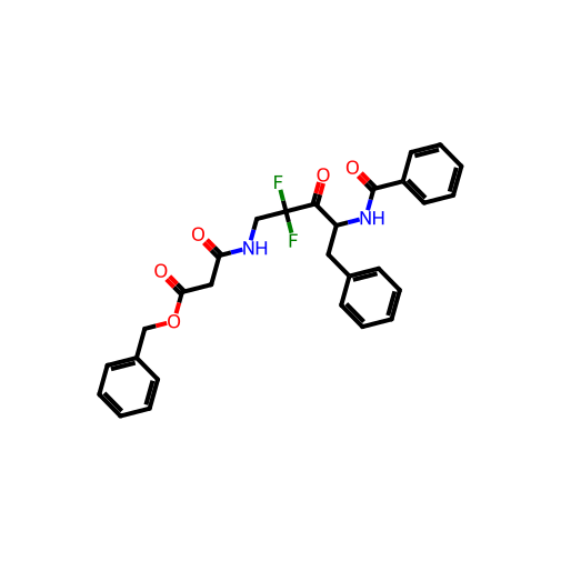 O=C(CC(=O)OCc1ccccc1)NCC(F)(F)C(=O)C(Cc1ccccc1)NC(=O)c1ccccc1